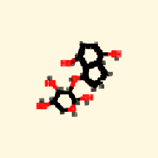 Oc1ccc(O)c2c(O[C@@H]3[C@@H](O)[C@H](O)CO[C@H]3O)cccc12